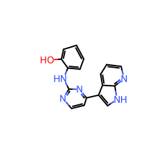 Oc1ccccc1Nc1nccc(-c2c[nH]c3ncccc23)n1